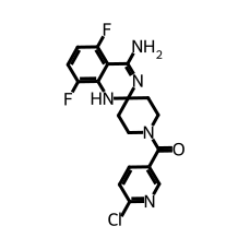 NC1=NC2(CCN(C(=O)c3ccc(Cl)nc3)CC2)Nc2c(F)ccc(F)c21